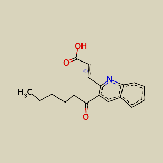 CCCCCC(=O)c1cc2ccccc2nc1/C=C/C(=O)O